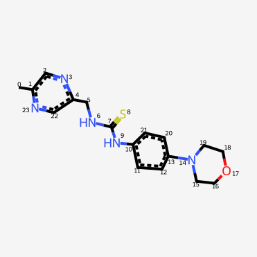 Cc1cnc(CNC(=S)Nc2ccc(N3CCOCC3)cc2)cn1